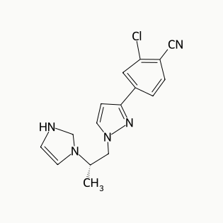 C[C@@H](Cn1ccc(-c2ccc(C#N)c(Cl)c2)n1)N1C=CNC1